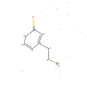 S=C1C=C(CCBr)C=CC1